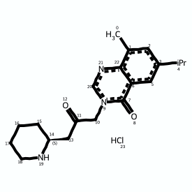 Cc1cc(C(C)C)cc2c(=O)n(CC(=O)C[C@@H]3CCCCN3)cnc12.Cl